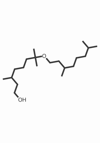 CC(C)CCCC(C)CCOC(C)(C)CCCC(C)CCO